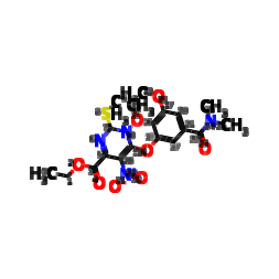 CCOC(=O)C1=NC(SC)N(OC)C(Oc2cc(OC)cc(C(=O)N(C)C)c2)=C1[N+](=O)[O-]